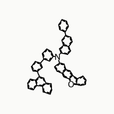 c1ccc(-c2ccc3ccc(N(c4cccc(-c5cccc(-c6cc7ccccc7c7ccccc67)c5)c4)c4ccc5cc6oc7ccccc7c6cc5c4)cc3c2)cc1